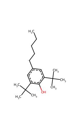 CCCC[CH]c1cc(C(C)(C)C)c(O)c(C(C)(C)C)c1